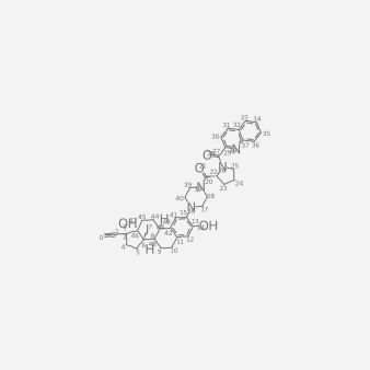 C#C[C@]1(O)CC[C@@]2(I)[C@@H]3CCc4cc(O)c(N5CCN(C(=O)[C@@H]6CCCN6C(=O)c6ccc7ccccc7n6)CC5)cc4[C@H]3CC[C@@]21C